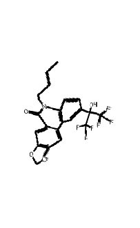 CCCCn1c(=O)c2cc3c(cc2c2cc(C(O)(C(F)(F)F)C(F)(F)F)ccc21)OCO3